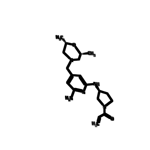 C=CC(=O)N1CC[C@H](Nc2cc(CN3C[C@@H](C)O[C@@H](C)C3)cc(N)n2)C1